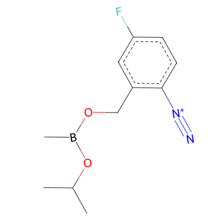 CB(OCc1cc(F)ccc1[N+]#N)OC(C)C